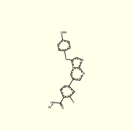 CCNC(=O)c1ccc(-c2cnc3ncc(Sc4ccc(OC)cc4)n3c2)cc1F